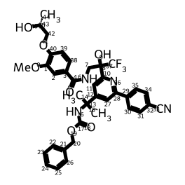 COc1cc(C(=O)NCC(O)(c2cc(C(C)(C)NC(=O)OCc3ccccc3)cc(-c3ccc(C#N)cc3)n2)C(F)(F)F)ccc1OC[C@@H](C)O